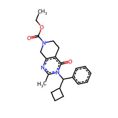 CCOC(=O)N1CCc2c(nc(C)n(C(c3ccccc3)C3CCC3)c2=O)C1